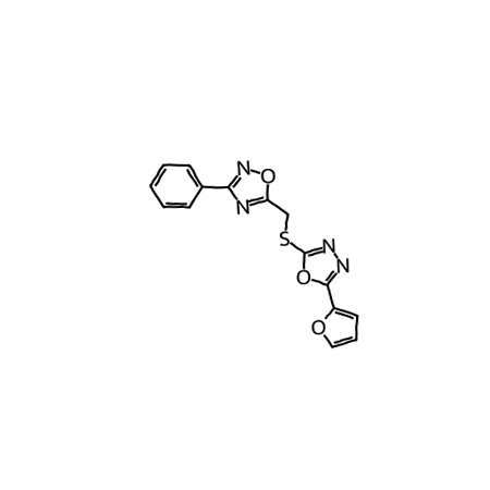 c1ccc(-c2noc(CSc3nnc(-c4ccco4)o3)n2)cc1